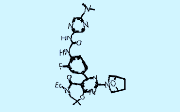 CCN1CC(C)(C)Oc2nc(N3CC4CCC(C3)O4)nc(-c3ccc(NC(=O)Nc4cnc(N(C)C)cn4)c(F)c3)c2C1=O